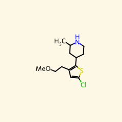 COCCc1cc(Cl)sc1C1CCNC(C)C1